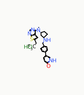 CN(c1ncnc2sc(CC(F)(F)F)cc12)[C@@H]1CC[C@H](NCc2ccc(-c3ccc(=O)[nH]c3)cc2)C1.Cl